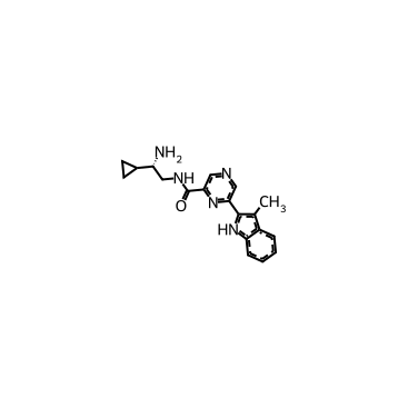 Cc1c(-c2cncc(C(=O)NC[C@@H](N)C3CC3)n2)[nH]c2ccccc12